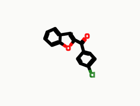 O=C(c1ccc(Cl)cc1)c1[c]c2ccccc2o1